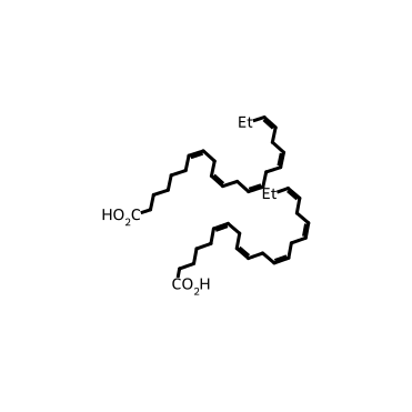 CC/C=C\C/C=C\C/C=C\C/C=C\C/C=C\CCCCC(=O)O.CC/C=C\C/C=C\C/C=C\C/C=C\C/C=C\CCCCCC(=O)O